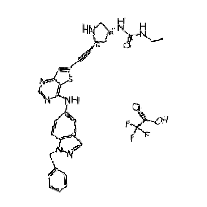 CCNC(=O)N[C@H]1CN[C@H](C#Cc2cc3ncnc(Nc4ccc5c(cnn5Cc5ccccc5)c4)c3s2)C1.O=C(O)C(F)(F)F